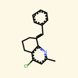 Cc1cc(Cl)c2c(n1)/C(=C/c1ccccc1)CCC2